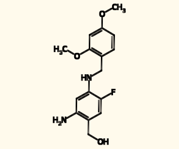 COc1ccc(CNc2cc(N)c(CO)cc2F)c(OC)c1